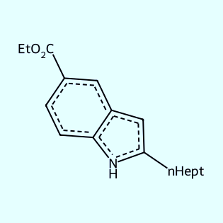 CCCCCCCc1cc2cc(C(=O)OCC)ccc2[nH]1